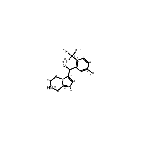 OC(c1cc(F)ccc1C(F)(F)F)c1cnc2n1CCNC2